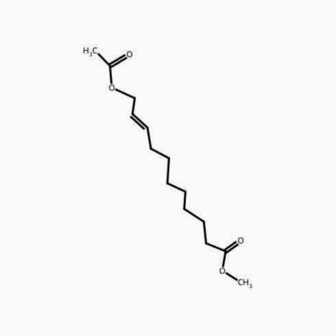 COC(=O)CCCCCCCC=CCOC(C)=O